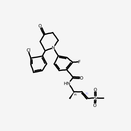 C[C@H](/C=C/S(C)(=O)=O)NC(=O)c1ccc(N2CCC(=O)CC2c2ccccc2Cl)cc1F